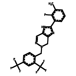 Cc1cccc(-c2nc3c([nH]2)C=NN(Cc2ccc(C(F)(F)F)cc2C(F)(F)F)C3)c1F